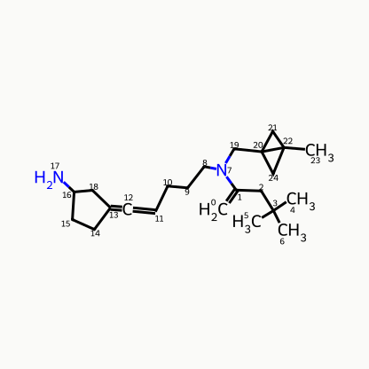 C=C(CC(C)(C)C)N(CCCC=C=C1CCC(N)C1)CC12CC1(C)C2